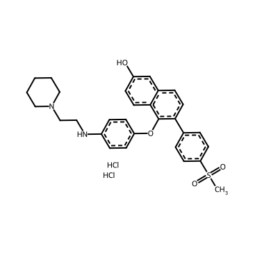 CS(=O)(=O)c1ccc(-c2ccc3cc(O)ccc3c2Oc2ccc(NCCN3CCCCC3)cc2)cc1.Cl.Cl